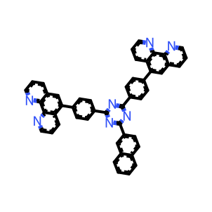 c1ccc2cc(-c3nc(-c4ccc(-c5cc6cccnc6c6ncccc56)cc4)nc(-c4ccc(-c5cc6cccnc6c6ncccc56)cc4)n3)ccc2c1